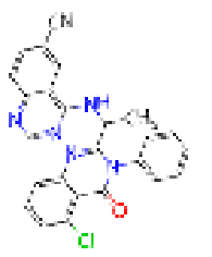 CC(Nc1ncnc2ccc(C#N)cc12)c1nc2cccc(Cl)c2c(=O)n1-c1ccccc1